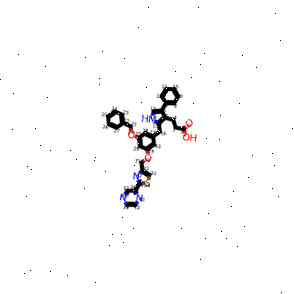 O=C(O)CCc1c(-c2ccccc2)c[nH]c1Cc1cc(OCc2ccccc2)cc(OCc2csc(-c3cnccn3)n2)c1